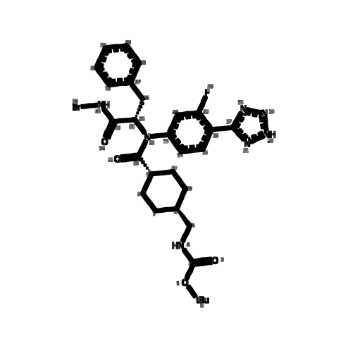 CC(C)(C)OC(=O)NC[C@H]1CC[C@H](C(=O)N(c2ccc(-c3nn[nH]n3)c(F)c2)[C@@H](Cc2ccccc2)C(=O)NBr)CC1